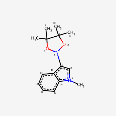 Cn1cc(N2OC(C)(C)C(C)(C)O2)c2ccccc21